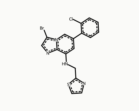 Clc1ccccc1-c1cc(NCc2nccs2)c2ncc(Br)n2c1